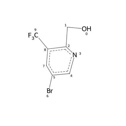 OCc1ncc(Br)cc1C(F)(F)F